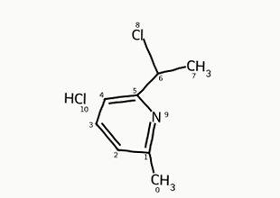 Cc1cccc(C(C)Cl)n1.Cl